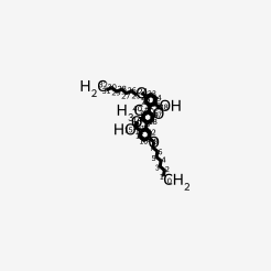 C=CCCCCCCOc1ccc(C(=O)O)c(-c2ccc(-c3cc(OCCCCCCC=C)ccc3C(=O)O)c(C)c2)c1